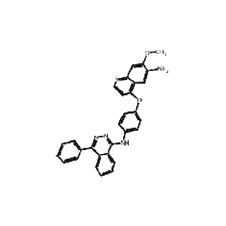 COc1cc2nccc(Oc3ccc(Nc4nnc(-c5ccccc5)c5ccccc45)cc3)c2cc1N